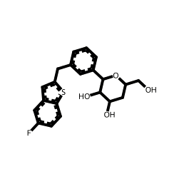 OCC1CC(O)C(O)C(c2cccc(Cc3cc4cc(F)ccc4s3)c2)O1